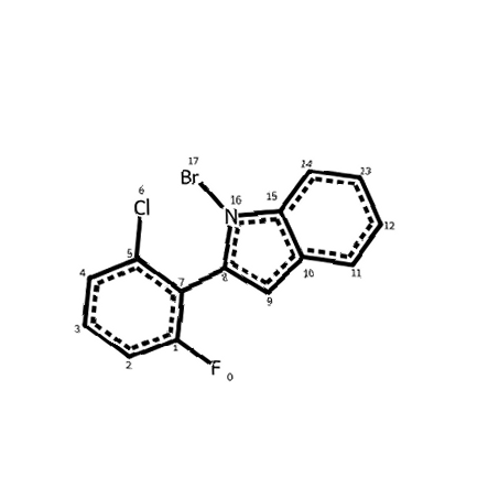 Fc1cccc(Cl)c1-c1cc2ccccc2n1Br